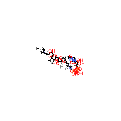 C=C/C=C\CCC1OC2CCC3(C)OC4C(O)CC5(C)OC(CC/C=C(C)/C(C)=C/COP(=O)(O)OP(=O)(O)OP(=O)(O)OCC6OC(n7ccc(=O)[nH]c7=O)C(O)C6O)C(C)CC5OC4CC3OC2CCC1(C)O